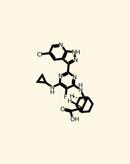 O=C(O)[C@H]1C2CCC(CC2)[C@@H]1Nc1nc(-c2n[nH]c3ncc(Cl)cc23)nc(NC2CC2)c1F